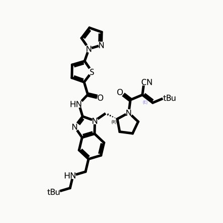 CC(C)(C)/C=C(\C#N)C(=O)N1CCC[C@@H]1Cn1c(NC(=O)c2ccc(-n3cccn3)s2)nc2cc(CNCC(C)(C)C)ccc21